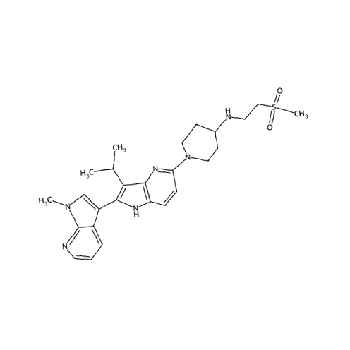 CC(C)c1c(-c2cn(C)c3ncccc23)[nH]c2ccc(N3CCC(NCCS(C)(=O)=O)CC3)nc12